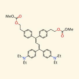 CCN(CC)c1ccc(C(=CC=C(c2ccc(CCOC(=O)OC)cc2)c2ccc(CCOC(=O)OC)cc2)c2ccc(N(CC)CC)cc2)cc1